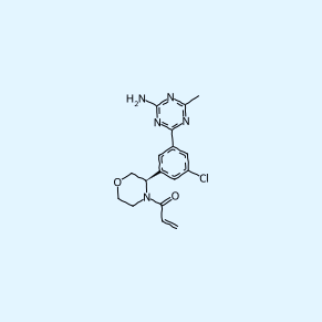 C=CC(=O)N1CCOC[C@H]1c1cc(Cl)cc(-c2nc(C)nc(N)n2)c1